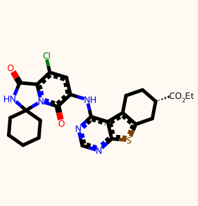 CCOC(=O)[C@H]1CCc2c(sc3ncnc(Nc4cc(Cl)c5n(c4=O)C4(CCCCC4)NC5=O)c23)C1